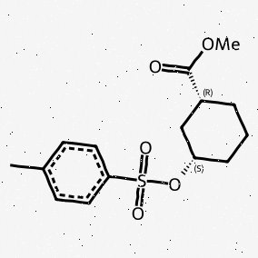 COC(=O)[C@@H]1CCC[C@H](OS(=O)(=O)c2ccc(C)cc2)C1